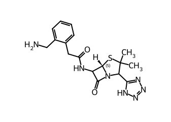 CC1(C)S[C@H]2C(NC(=O)Cc3ccccc3CN)C(=O)N2C1c1nnn[nH]1